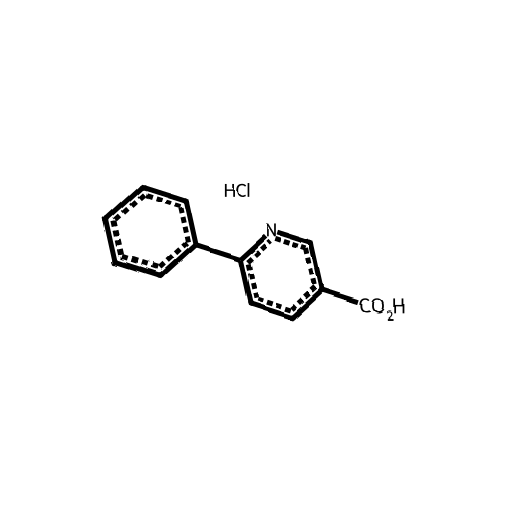 Cl.O=C(O)c1ccc(-c2ccccc2)nc1